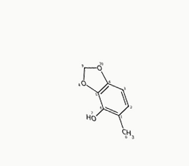 Cc1ccc2c(c1O)OCO2